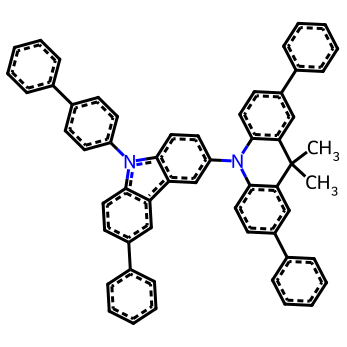 CC1(C)c2cc(-c3ccccc3)ccc2N(c2ccc3c(c2)c2cc(-c4ccccc4)ccc2n3-c2ccc(-c3ccccc3)cc2)c2ccc(-c3ccccc3)cc21